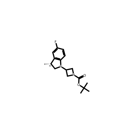 C[C@H]1CN(C2CN(C(=O)OC(C)(C)C)C2)c2ccc(F)cc21